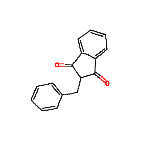 O=C1c2ccccc2C(=O)C1Cc1ccccc1